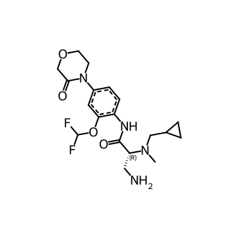 CN(CC1CC1)[C@H](CN)C(=O)Nc1ccc(N2CCOCC2=O)cc1OC(F)F